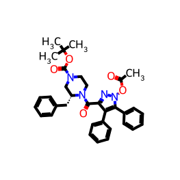 CC(=O)On1nc(C(=O)N2CCN(C(=O)OC(C)(C)C)C[C@H]2Cc2ccccc2)c(-c2ccccc2)c1-c1ccccc1